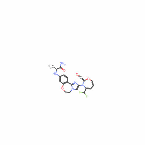 C[C@H](Nc1ccc2c(c1)OCCn1cc(N3C(=C=O)OC=CC=C3C(F)F)nc1-2)C(N)=O